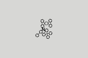 c1ccc(-c2ccc(N(c3ccc4c(c3)C3(CCC5(CC3)c3ccccc3-c3ccccc35)c3ccccc3-4)c3cccc4c3-c3ccccc3C4(c3ccccc3)c3ccccc3)cc2)cc1